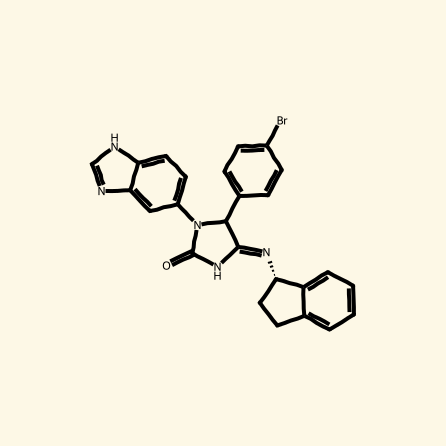 O=C1NC(=N[C@H]2CCc3ccccc32)C(c2ccc(Br)cc2)N1c1ccc2[nH]cnc2c1